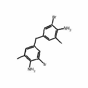 Cc1cc(Cc2cc(C)c(N)c(Br)c2)cc(Br)c1N